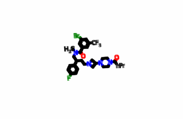 CCCC(=O)N1CCN(C2CN(CCC(CN(C)C(=O)c3cc(Br)cc(C(F)(F)F)c3)c3ccc(F)cc3)C2)CC1